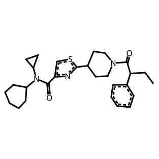 CCC(C(=O)N1CCC(c2nc(C(=O)N(C3CCCCC3)C3CC3)cs2)CC1)c1ccccc1